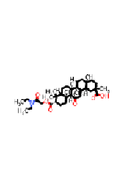 CCN(CC)C(=O)COC(=O)[C@H]1CC[C@]2(C)[C@H]3C(=O)C=C4[C@@H]5C[C@@](C)(C(=O)O)CC[C@]5(C)CC[C@@]4(C)[C@]3(C)CC[C@H]2C1(C)C